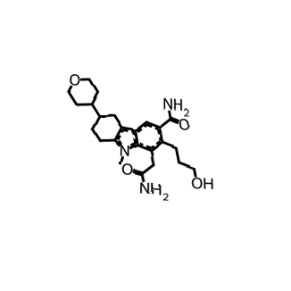 Cn1c2c(c3cc(C(N)=O)c(CCCO)c(CC(N)=O)c31)CC(C1CCOCC1)CC2